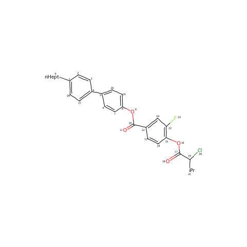 CCCCCCCc1ccc(-c2ccc(OC(=O)c3ccc(OC(=O)C(Cl)C(C)C)c(F)c3)cc2)cc1